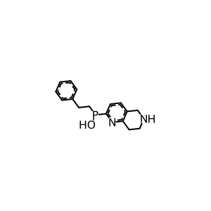 OP(CCc1ccccc1)c1ccc2c(n1)CCNC2